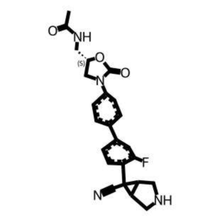 CC(=O)NC[C@H]1CN(c2ccc(-c3ccc(C4(C#N)C5CNCC54)c(F)c3)cc2)C(=O)O1